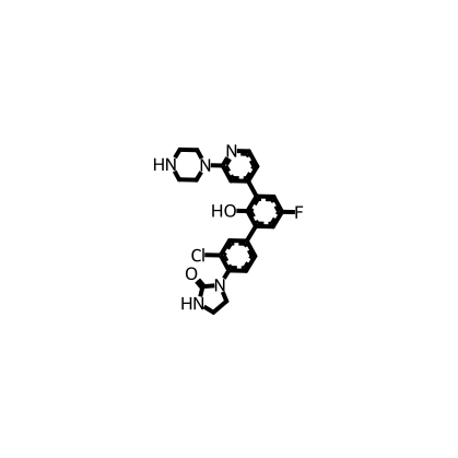 O=C1NCCN1c1ccc(-c2cc(F)cc(-c3ccnc(N4CCNCC4)c3)c2O)cc1Cl